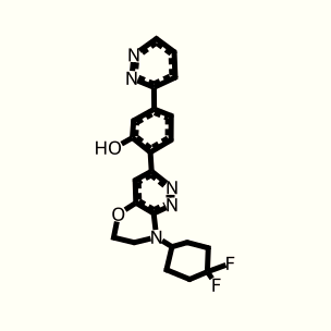 Oc1cc(-c2cccnn2)ccc1-c1cc2c(nn1)N(C1CCC(F)(F)CC1)CCO2